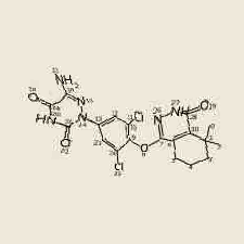 CC1(C)CCCc2c(Oc3c(Cl)cc(-n4nc(N)c(=O)[nH]c4=O)cc3Cl)n[nH]c(=O)c21